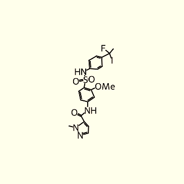 COc1cc(NC(=O)c2ccnn2C)ccc1S(=O)(=O)Nc1ccc(C(C)(F)I)cc1